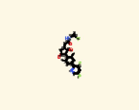 Cc1cc(-c2ncc(F)cc2F)cc(C)c1C1C(=O)CC(CC(=O)NC2CC2F)C1=O